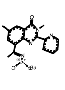 CC(=N[S@+]([O-])C(C)(C)C)c1cc(C)cc2c(=O)n(C)c(-c3ccccn3)nc12